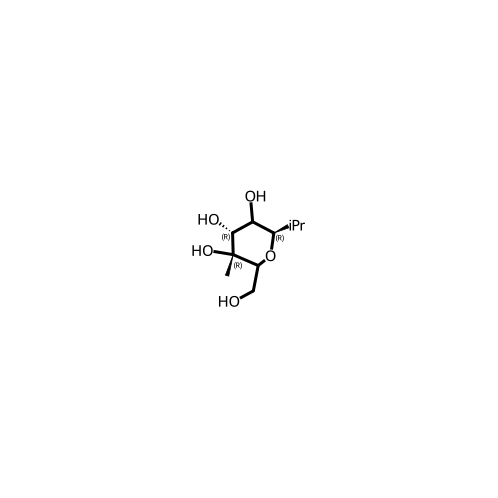 CC(C)[C@H]1OC(CO)[C@](C)(O)[C@H](O)C1O